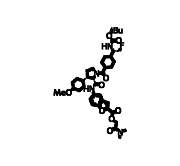 COC1CCC([C@@H]2CCN(C(=O)C3CCC([C@@H](CF)NC(=O)OC(C)(C)C)CC3)[C@@H]2C(=O)Nc2ccc3oc(C(=O)OCC(=O)N(C)C)cc3c2)CC1